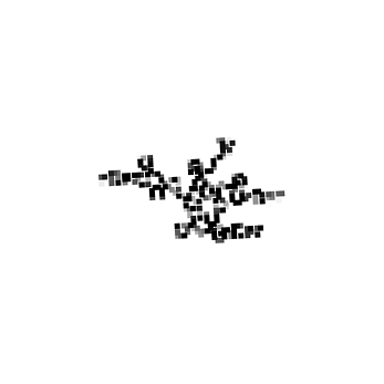 CCCCCCCCCCOC(=O)CC(=O)OCC(COC(=O)CCCN(C)C)(COC(=O)CC(=O)OCCCCCCCCCC)COC(=O)CC(=O)OCCCCCCCCCC